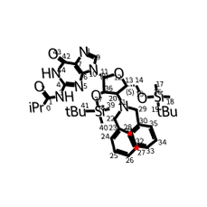 CC(C)C(=O)Nc1nc2c(ncn2[C@@H]2O[C@H](CO[Si](C)(C)C(C)(C)C)C(N(Cc3ccccc3)Cc3ccccc3)C2O[Si](C)(C)C(C)(C)C)c(=O)[nH]1